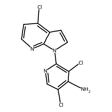 Nc1c(Cl)cnc(-n2ccc3c(Cl)ccnc32)c1Cl